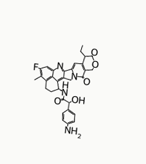 CCC1C(=O)OCc2c1cc1n(c2=O)Cc2c-1nc1cc(F)c(C)c3c1c2[C@@H](NC(=O)C(O)c1ccc(N)cc1)CC3